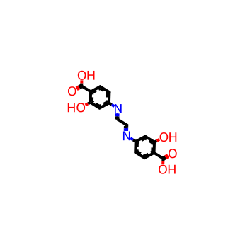 O=C(O)c1ccc(/N=C/C=N/c2ccc(C(=O)O)c(O)c2)cc1O